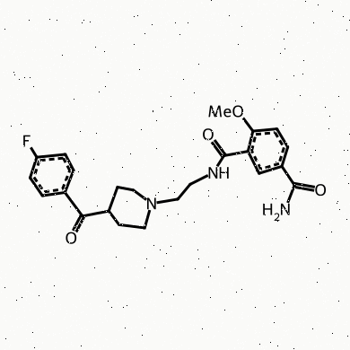 COc1ccc(C(N)=O)cc1C(=O)NCCN1CCC(C(=O)c2ccc(F)cc2)CC1